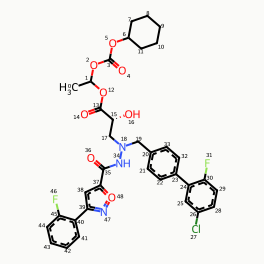 CC(OC(=O)OC1CCCCC1)OC(=O)[C@H](O)CN(Cc1ccc(-c2cc(Cl)ccc2F)cc1)NC(=O)c1cc(-c2ccccc2F)no1